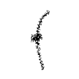 CCCCCCCCCCCCCCCCCCC1=[N+](CC)C(NC(=O)CCCCCCCCCCCCCCCCC)CN1.[Cl-]